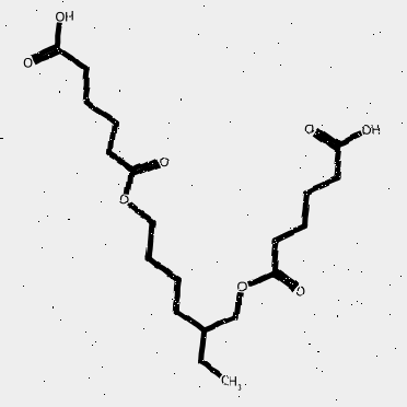 CCC(CCCCOC(=O)CCCCC(=O)O)COC(=O)CCCCC(=O)O